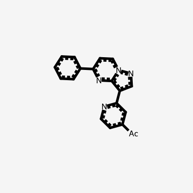 CC(=O)c1ccnc(-c2cnn3ccc(-c4ccccc4)nc23)c1